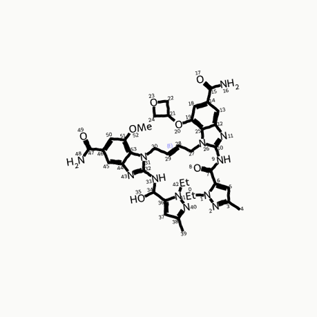 CCn1nc(C)cc1C(=O)Nc1nc2cc(C(N)=O)cc(OC3COC3)c2n1C/C=C/Cn1c(NC(O)c2cc(C)nn2CC)nc2cc(C(N)=O)cc(OC)c21